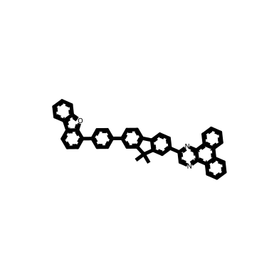 CC1(C)c2cc(-c3ccc(-c4cccc5c4oc4ccccc45)cc3)ccc2-c2ccc(-c3cnc4c5ccccc5c5ccccc5c4n3)cc21